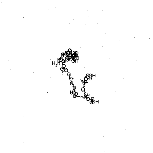 CCN1/C(=C/C=C2C=C(/C=C/C3=[N+](CCCCCC(=O)ONCCOCCOCCOCCOCc4ccc(C(=O)OCc5cn([C@H]6CC(OC(=O)c7ccccc7C(C)N=[N+]=[N-])[C@@H](COP(=O)(O)OP(=O)(O)OP(=O)(O)O)O6)c6ncnc(N)c56)c(C(C)C)c4)c4ccc(S(=O)(=O)O)cc4C3(C)C)CCC/2)C(C)(C)c2cc(S(=O)(=O)O)ccc21